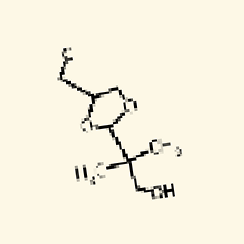 CC(C)(CO)C1OCC(CCl)O1